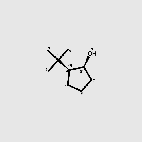 CC(C)(C)[C@@H]1CCC[C@@H]1O